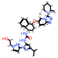 CC(C)c1cc(NC(=O)N[C@H]2CCC(Oc3ccc4nnc(N5C(C)CCC[C@H]5C)n4c3)c3ccccc32)n(-c2ccn(CCO)n2)n1